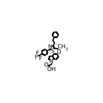 CC(Oc1ccc2c(ccn2CC(=O)O)c1)c1sc(-c2ccc(C(F)(F)F)cc2)nc1CCc1ccccc1